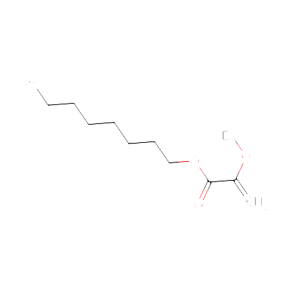 C=C(OCC)C(=O)OCCCCCCCC(C)C